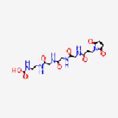 O=C(O)NCCNC(=O)CNC(=O)CNC(=O)CNC(=O)CCN1C(=O)C=CC1=O